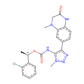 C[C@@H](OC(=O)Nc1c(-c2ccc3c(c2)N(C)CC(=O)N3)nnn1C)c1ccccc1Cl